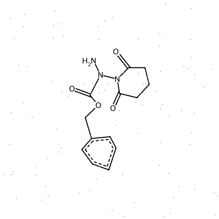 NN(C(=O)OCc1ccccc1)N1C(=O)CCCC1=O